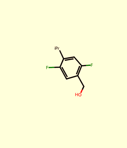 CC(C)c1cc(F)c(CO)cc1F